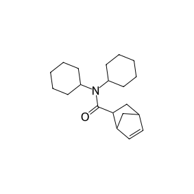 O=C(C1CC2C=CC1C2)N(C1CCCCC1)C1CCCCC1